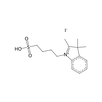 CC1=[N+](CCCCS(=O)(=O)O)c2ccccc2C1(C)C.[I-]